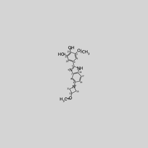 COc1cc(-c2nc3cc(N4CC(OC)C4)ccc3[nH]2)cc(O)c1O